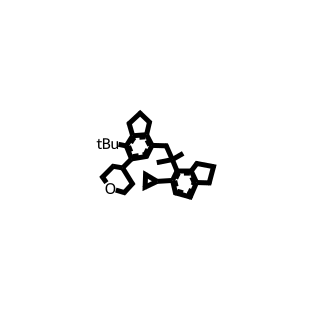 CC(C)(C)c1c(C2CCOCC2)cc(CC(C)(C)c2c(C3CC3)ccc3c2CCC3)c2c1CCC2